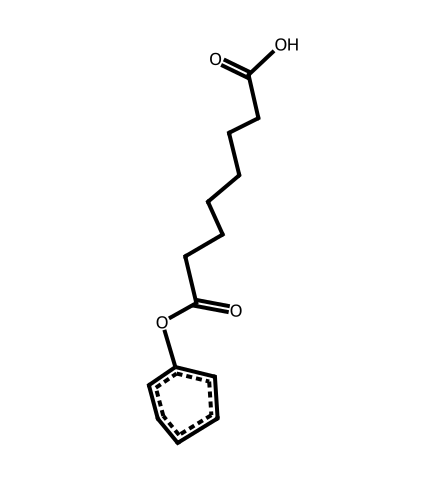 O=C(O)CCCCCCC(=O)Oc1ccccc1